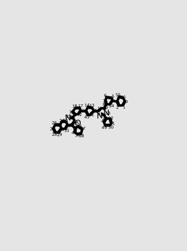 c1ccc(-c2cccc(-c3cc(-c4ccc(-c5cccc(-c6nc7cc8ccccc8cc7c7c6oc6ccccc67)c5)cc4)nc(-c4ccccc4)n3)c2)cc1